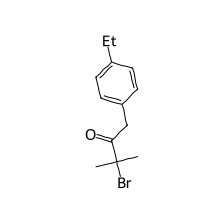 CCc1ccc(CC(=O)C(C)(C)Br)cc1